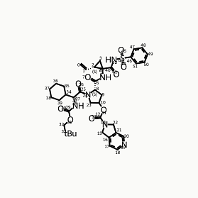 C=C[C@@H]1C[C@]1(NC(=O)[C@@H]1CC(OC(=O)N2Cc3ccncc3C2)CN1C(=O)[C@@H](NC(=O)OCC(C)(C)C)C1CCCCC1)C(=O)NS(=O)(=O)c1ccccc1